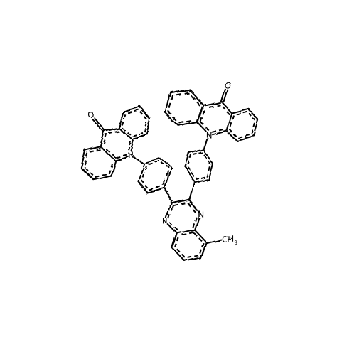 Cc1cccc2nc(-c3ccc(-n4c5ccccc5c(=O)c5ccccc54)cc3)c(-c3ccc(-n4c5ccccc5c(=O)c5ccccc54)cc3)nc12